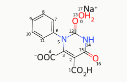 O.O=C(O)c1c(C(=O)[O-])n(-c2ccccc2)c(=O)[nH]c1=O.[Na+]